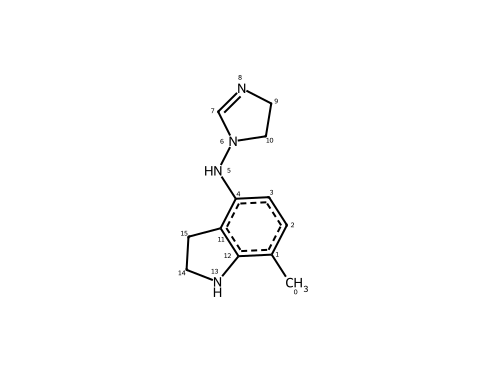 Cc1ccc(NN2C=NCC2)c2c1NCC2